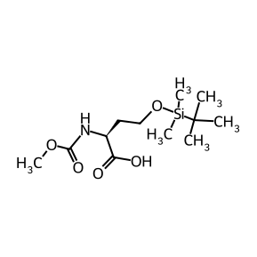 COC(=O)N[C@@H](CCO[Si](C)(C)C(C)(C)C)C(=O)O